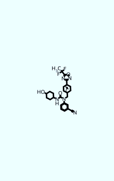 CC(F)(F)c1nc(C23CCC(CN(C(=O)NC4CCC(O)CC4)c4cccc(C#N)c4)(CC2)CC3)no1